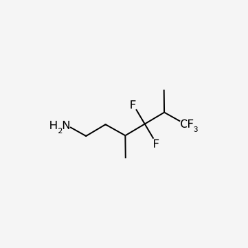 CC(CCN)C(F)(F)C(C)C(F)(F)F